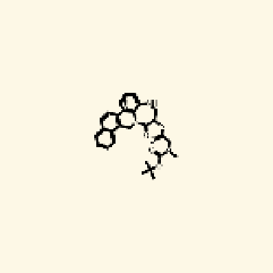 COc1ccc2ccccc2c1CN1C(=O)C(NC(=O)CN(C)C(=O)OC(C)(C)C)CNc2ccccc21